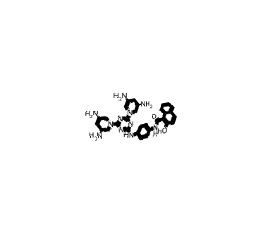 N[C@@H]1C[C@H](N)CN(c2nc(Nc3ccc(NC(=O)c4c(O)ccc5ccccc45)cc3)nc(N3C[C@H](N)C[C@H](N)C3)n2)C1